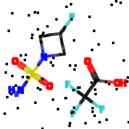 NS(=O)(=O)N1CC(F)C1.O=C(O)C(F)(F)F